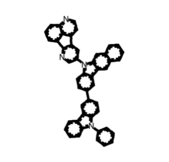 c1ccc(-n2c3ccccc3c3cc(-c4ccc5c(c4)c4cc6ccccc6cc4n5-c4cnc5c(c4)-c4ccnc6cccc-5c46)ccc32)cc1